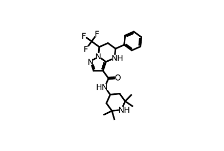 CC1(C)CC(NC(=O)c2cnn3c2NC(c2ccccc2)CC3C(F)(F)F)CC(C)(C)N1